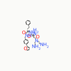 NCCN(CCN)C(=O)C[C@H](N)C(=O)N[C@@H](CCc1ccccc1)C(=O)NCc1ccc(-c2ccco2)cc1